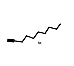 C#CCCCCCCCC.[Au]